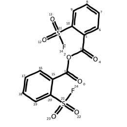 O=C(OC(=O)c1ccccc1S(=O)(=O)F)c1ccccc1S(=O)(=O)F